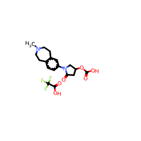 CN1CCc2ccc(N3CC(OC(=O)O)CC3=O)cc2CC1.O=C(O)C(F)(F)F